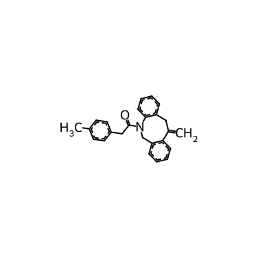 C=C1Cc2ccccc2N(C(=O)Cc2ccc(C)cc2)Cc2ccccc21